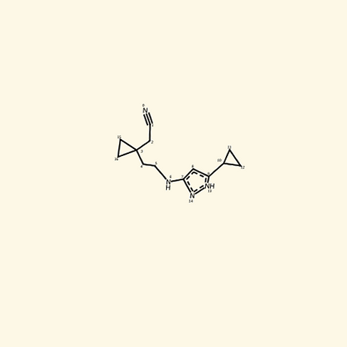 N#CCC1(CCNc2cc(C3CC3)[nH]n2)CC1